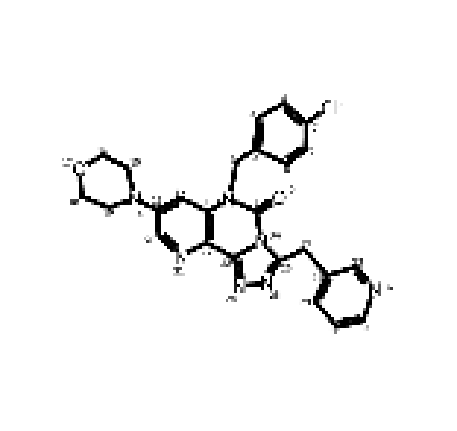 O=c1n(Cc2ccc(Cl)cc2)c2cc(N3CCOCC3)cnc2c2nnc(Cc3cccnc3)n12